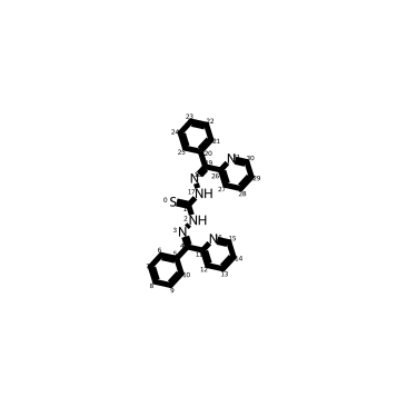 S=C(NN=C(c1ccccc1)c1ccccn1)NN=C(c1ccccc1)c1ccccn1